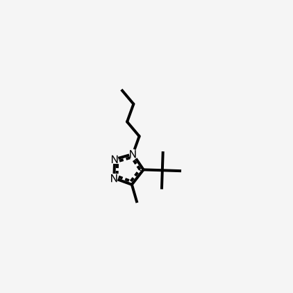 CCCCn1nnc(C)c1C(C)(C)C